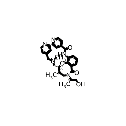 C[C@@H]1CN([C@@H](C)CO)C(=O)c2cccc(NC(=O)c3ccncc3)c2O[C@H]1CN(C)Cc1ccncc1